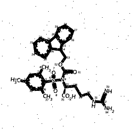 Cc1cc(C)c(S(=O)(=O)N(C(=O)OCC2c3ccccc3-c3ccccc32)[C@@H](CCCNC(=N)N)C(=O)O)c(C)c1